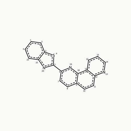 c1ccc2sc(-c3ccc4ccc5ncccc5c4n3)nc2c1